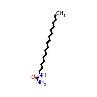 CCCCCCCC/C=C/CCCCCCCCNC(N)=O